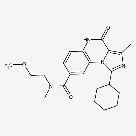 Cc1nc(C2CCCCC2)n2c1c(=O)[nH]c1ccc(C(=O)N(C)CCOC(F)(F)F)cc12